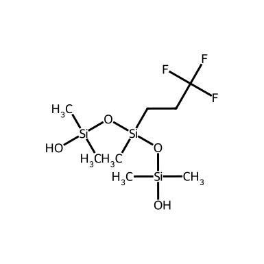 C[Si](C)(O)O[Si](C)(CCC(F)(F)F)O[Si](C)(C)O